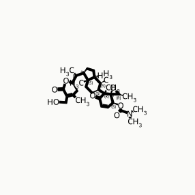 CC1=C(CO)C(=O)O[C@@H]([C@@H](C)[C@H]2CC[C@H]3[C@H](C)[C@@H]([C@@]4(C)C(=O)C=C[C@H](OC(=O)N(C)C)[C@]45O[C@@H]5C)CC[C@]23C)C1